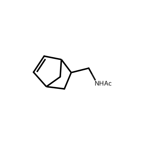 CC(=O)NCC1CC2C=CC1C2